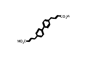 O=C(O)C=CCc1ccc(-c2ccc(CC=CC(=O)O)cc2)cc1